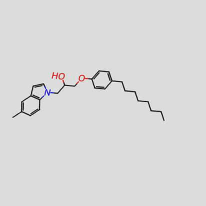 CCCCCCCCc1ccc(OCC(O)Cn2ccc3cc(C)ccc32)cc1